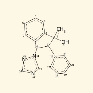 CC(O)(c1ccccc1)C(Cn1cncn1)c1ccccc1